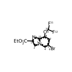 CCOC(=O)c1cn2cc(Br)cc(OC(F)F)c2n1